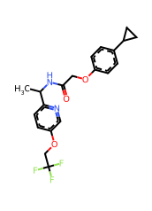 CC(NC(=O)COc1ccc(C2CC2)cc1)c1ccc(OCC(F)(F)F)cn1